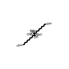 CCCCCCCCCCCCCCCCCC(=O)C(O)(C(=O)[O-])C(O)(C(=O)[O-])C(=O)CCCCCCCCCCCCCCCCC.[Na+].[Na+]